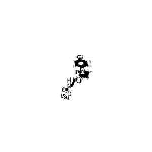 CC(C)(C)OC(=O)NCCOc1ccn(-c2ccc(Cl)cc2)n1